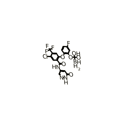 BC(O)(O)Oc1cc(F)ccc1Oc1cc(C(F)(F)F)c(Cl)cc1C(=O)Nc1cn[nH]c(=O)c1